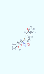 COc1ccccc1CC(=O)/C=c1\[nH]c(=O)/c(=C/c2ccc3c(c2)CCCO3)s1